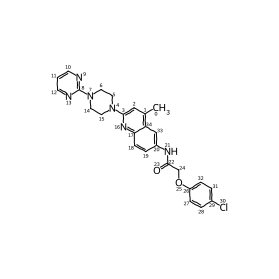 Cc1cc(N2CCN(c3ncccn3)CC2)nc2ccc(NC(=O)COc3ccc(Cl)cc3)cc12